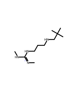 C/N=C(/NC)NCCCNCC(C)(C)C